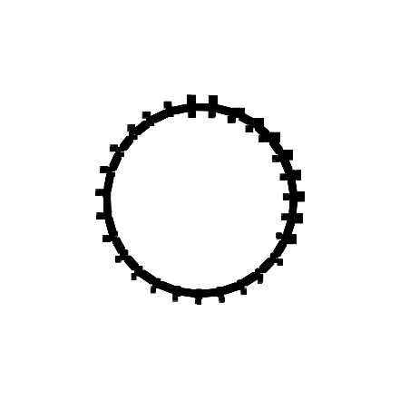 C1CCCCCCCCNNNNNNNNNNCCCCCCCC1